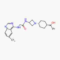 CC(C)C(O)[C@H]1CC[C@H](N2CC(NC(=O)CNc3ncnc4ccc(C(F)(F)F)cc34)C2)CC1